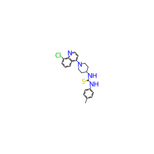 Cc1ccc(NC(=S)NC2CCN(c3ccnc4c(Cl)cccc34)CC2)cc1